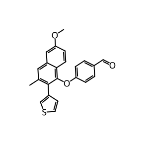 COc1ccc2c(Oc3ccc(C=O)cc3)c(-c3ccsc3)c(C)cc2c1